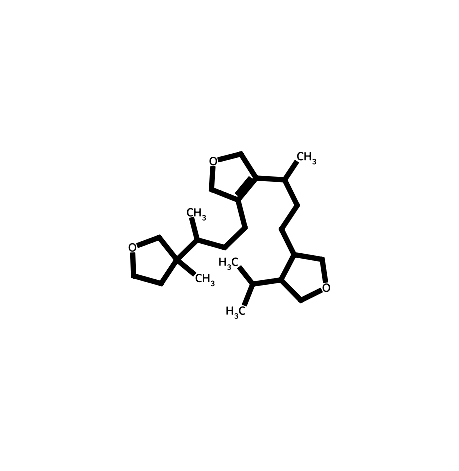 CC(CCC1COCC1C(C)C)C1=C(CCC(C)C2(C)CCOC2)COC1